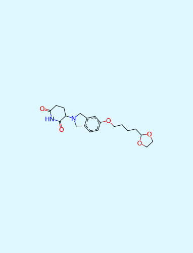 O=C1CCC(N2Cc3ccc(OCCCCC4OCCO4)cc3C2)C(=O)N1